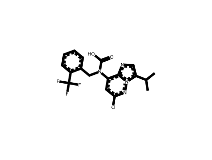 CC(C)c1cnc2c(N(Cc3ccccc3C(F)(F)F)C(=O)O)cc(Cl)nn12